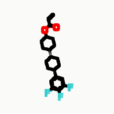 C=CC(=O)OC1CCC([C@H]2CC[C@H](c3cc(F)c(F)c(F)c3)CC2)CC1